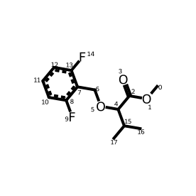 COC(=O)C(OCc1c(F)cccc1F)C(C)C